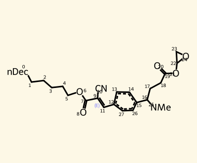 CCCCCCCCCCCCCCCOC(=O)/C(C#N)=C/c1ccc(C(CCC(=O)OC2CO2)NC)cc1